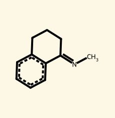 CN=C1CCCc2ccccc21